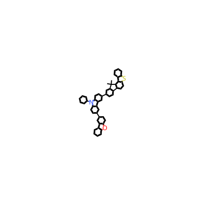 CC1(C)c2cc(-c3ccc4c(c3)c3cc(-c5ccc6oc7ccccc7c6c5)ccc3n4-c3ccccc3)ccc2-c2ccc3sc4ccccc4c3c21